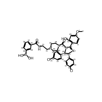 COc1ccc(C2=N[C@@H](c3ccc(Cl)cc3)[C@@H](c3ccc(Cl)cc3)N2C(=O)N2CCN(CCNC(=O)c3cccc(B(O)O)c3)CC2)c(O)c1